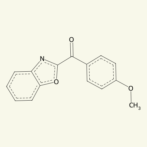 COc1ccc(C(=O)c2nc3ccccc3o2)cc1